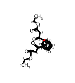 CCOC(=O)CC(=O)[C]12[CH]3[CH]4[CH]5[C]1(C(=O)CC(=O)OCC)[Fe]43521678[CH]2[CH]1[CH]6[CH]7[CH]28